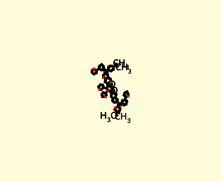 CC(C)c1ccc(N(c2cccc(-c3ccccc3)c2)c2ccc3cc4c(cc3c2)oc2c3oc5cc6cc(N(c7ccc(C(C)C)cc7)c7cccc(-c8ccccc8)c7)ccc6cc5c3c(-c3ccccc3)c(-c3ccccc3)c42)cc1